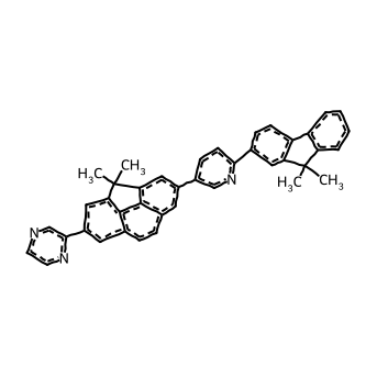 CC1(C)c2ccccc2-c2ccc(-c3ccc(-c4cc5c6c(ccc7cc(-c8cnccn8)cc(c76)C5(C)C)c4)cn3)cc21